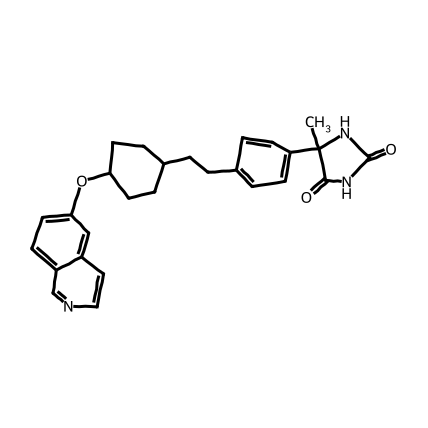 CC1(c2ccc(CCC3CCC(Oc4ccc5cnccc5c4)CC3)cc2)NC(=O)NC1=O